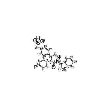 O=c1c(-c2ccc(F)cc2)c(-c2ccc(C[SH](=O)=O)cc2)cnn1-c1csc2ccccc12